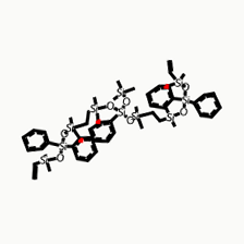 C=C[Si](C)(C)O[Si](O[Si](C)(C)CC[Si](C)(C)O[Si](O[Si](C)(C)C)(O[Si](C)(C)CC[Si](C)(C)O[Si](O[Si](C)(C)C=C)(c1ccccc1)c1ccccc1)c1ccccc1)(c1ccccc1)c1ccccc1